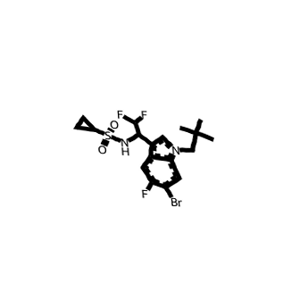 CC(C)(C)Cn1cc(C(NS(=O)(=O)C2CC2)C(F)F)c2cc(F)c(Br)cc21